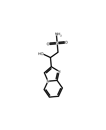 NS(=O)(=O)CC(O)c1cn2ccccc2n1